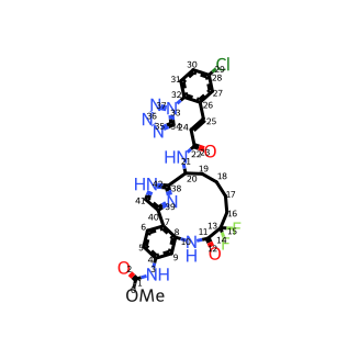 COC(=O)Nc1ccc2c(c1)NC(=O)C(F)(F)CCCCC(NC(=O)C=Cc1cc(Cl)ccc1-n1cnnn1)c1nc-2c[nH]1